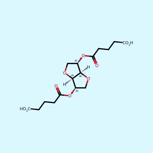 O=C(O)CCCC(=O)O[C@@H]1CO[C@H]2[C@@H]1OC[C@H]2OC(=O)CCCC(=O)O